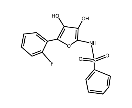 O=S(=O)(Nc1oc(-c2ccccc2F)c(O)c1O)c1ccccc1